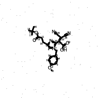 COc1ccc(Cn2cc(CCC(=O)OC(C)(C)C)nc2C(C(=O)O)=C(C#N)C#N)cc1